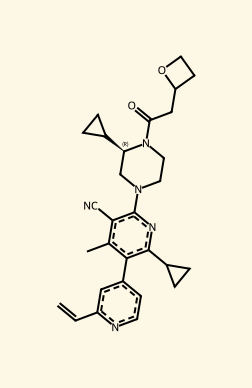 C=Cc1cc(-c2c(C3CC3)nc(N3CCN(C(=O)CC4CCO4)[C@H](C4CC4)C3)c(C#N)c2C)ccn1